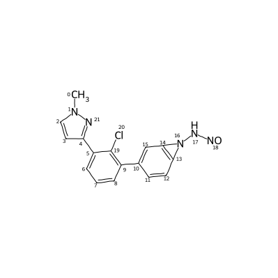 Cn1ccc(-c2cccc(-c3ccc4c(c3)N4NN=O)c2Cl)n1